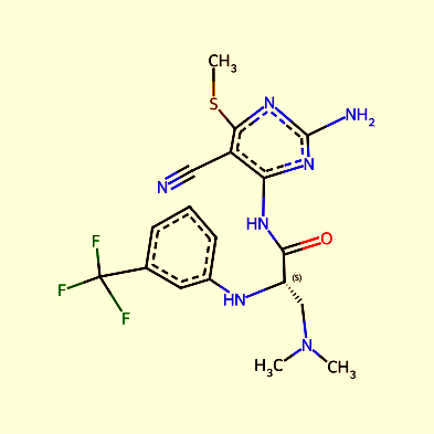 CSc1nc(N)nc(NC(=O)[C@H](CN(C)C)Nc2cccc(C(F)(F)F)c2)c1C#N